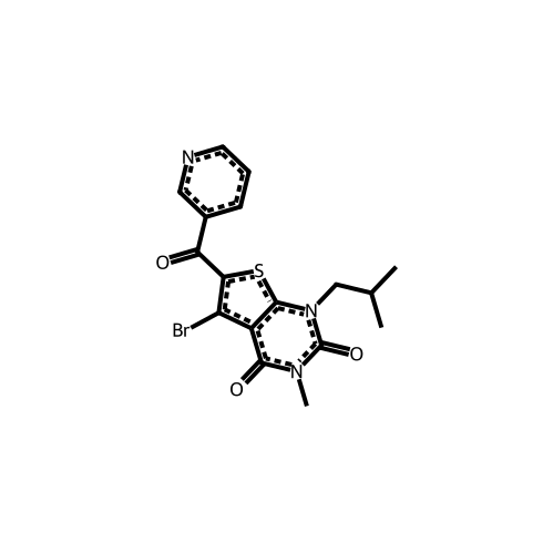 CC(C)Cn1c(=O)n(C)c(=O)c2c(Br)c(C(=O)c3cccnc3)sc21